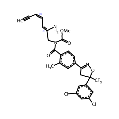 C#C/C=C\C=C(/N)CN(C(=O)OC)C(=O)c1ccc(C2=NOC(c3cc(Cl)cc(Cl)c3)(C(F)(F)F)C2)cc1C